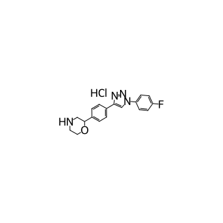 Cl.Fc1ccc(-n2cc(-c3ccc(C4CNCCO4)cc3)nn2)cc1